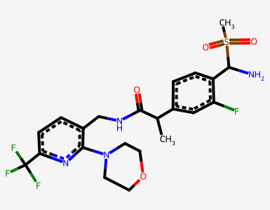 CC(C(=O)NCc1ccc(C(F)(F)F)nc1N1CCOCC1)c1ccc(C(N)S(C)(=O)=O)c(F)c1